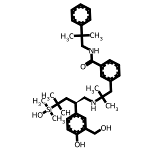 CC(C)(Cc1cccc(C(=O)NCC(C)(C)c2ccccc2)c1)NC[C@H](CC(C)(C)[Si](C)(C)O)c1ccc(O)c(CO)c1